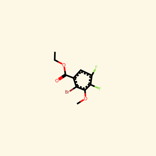 CCOC(=O)c1cc(F)c(F)c(OC)c1Br